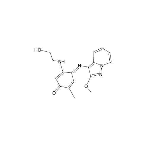 COc1nn2ccccc2c1/N=C1\C=C(C)C(=O)C=C1NCCO